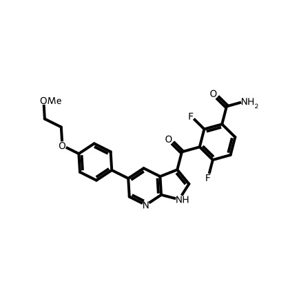 COCCOc1ccc(-c2cnc3[nH]cc(C(=O)c4c(F)ccc(C(N)=O)c4F)c3c2)cc1